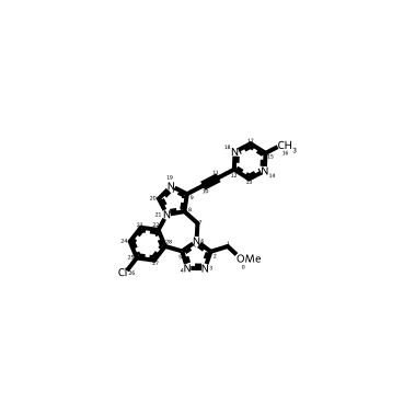 COCc1nnc2n1Cc1c(C#Cc3cnc(C)cn3)ncn1-c1ccc(Cl)cc1-2